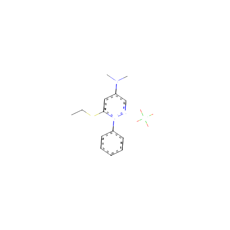 CCSc1cc(N(C)C)cn[n+]1-c1ccccc1.[O-][Cl+3]([O-])([O-])[O-]